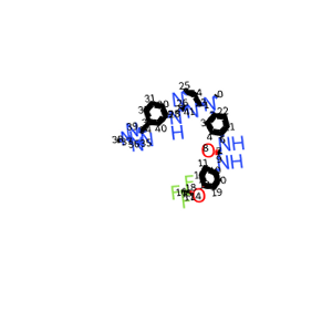 CN(c1ccc(NC(=O)Nc2ccc(OC(F)(F)F)cc2)cc1)c1ccnc(Nc2cccc(-c3nnn(C)n3)c2)n1